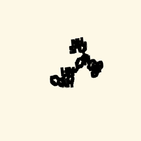 CS(=O)(=O)N1CCC(n2cc(-c3cccc(C(N)=S)c3)c3ccc(CNC(=O)Cc4[nH]cc5ccccc45)cc32)CC1